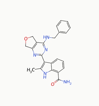 Cc1[nH]c2c(C(N)=O)cccc2c1-c1nc2c(c(NCc3ccccc3)n1)COC2